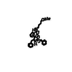 COCCCCNC(=O)[C@@H]1CCCN1C(=O)C(Cc1ccccc1)NC(=O)OCc1ccccc1